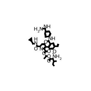 C=Cc1cc(C(=O)Nc2ccc(C(=N)N)cc2)c(-c2ccc(C(=O)NCC3CC3)nc2C(=O)OC(C)OC(=O)C(N)C(C)CC)cc1OC